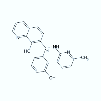 Cc1cccc(N[C@H](c2cccc(O)c2)c2ccc3cccnc3c2O)n1